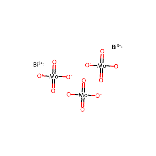 [Bi+3].[Bi+3].[O]=[Mo](=[O])([O-])[O-].[O]=[Mo](=[O])([O-])[O-].[O]=[Mo](=[O])([O-])[O-]